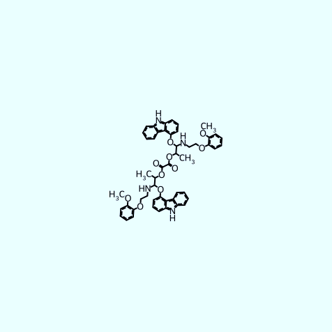 COc1ccccc1OCCNC(Oc1cccc2[nH]c3ccccc3c12)C(C)OC(=O)C(=O)OC(C)C(NCCOc1ccccc1OC)Oc1cccc2[nH]c3ccccc3c12